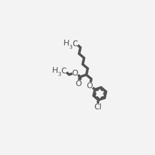 CCCCCCC(COc1cccc(Cl)c1)C(=O)OCC